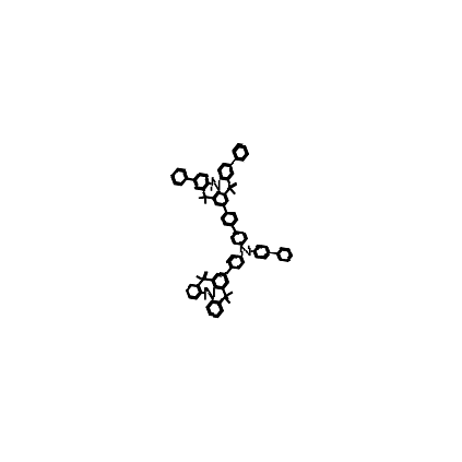 CC1(C)c2ccccc2N2c3ccccc3C(C)(C)c3cc(-c4ccc(N(c5ccc(-c6ccccc6)cc5)c5ccc(-c6ccc(-c7cc8c9c(c7)C(C)(C)c7cc(-c%10ccccc%10)ccc7N9c7ccc(-c9ccccc9)cc7C8(C)C)cc6)cc5)cc4)cc1c32